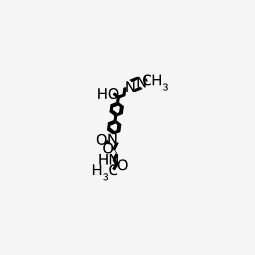 CC(=O)NC[C@H]1CN(c2ccc(-c3ccc(C(O)CCN4CCN(C)CC4)cc3)cc2)C(=O)O1